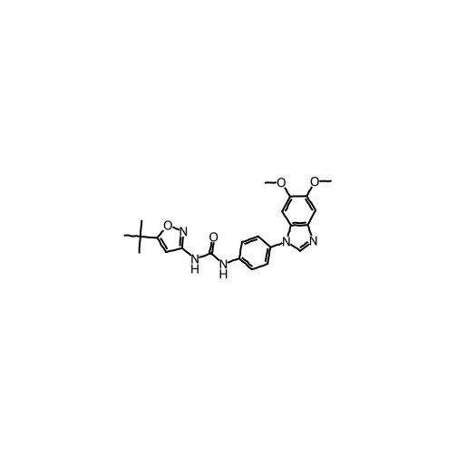 COc1cc2ncn(-c3ccc(NC(=O)Nc4cc(C(C)(C)C)on4)cc3)c2cc1OC